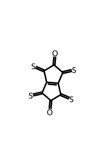 O=c1c(=S)c2c(=S)c(=O)c(=S)c2c1=S